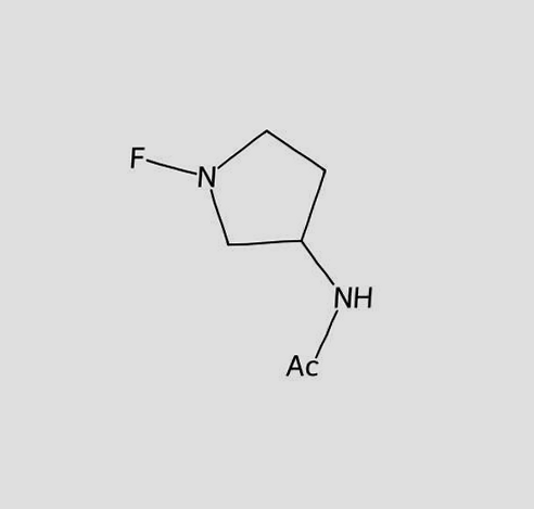 CC(=O)NC1CCN(F)C1